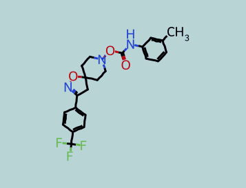 Cc1cccc(NC(=O)ON2CCC3(CC2)CC(c2ccc(C(F)(F)F)cc2)=NO3)c1